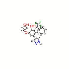 Cn1cc(-c2cc(OC(C)(C)CO)cc3c2-c2ccccc2C3(O)C(F)(F)F)cn1